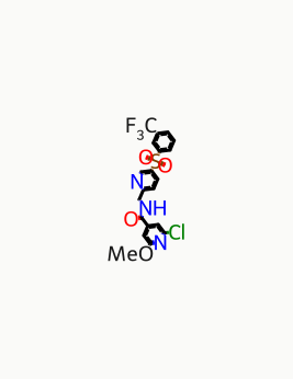 COc1cc(C(=O)NCc2ccc(S(=O)(=O)c3cccc(C(F)(F)F)c3)cn2)cc(Cl)n1